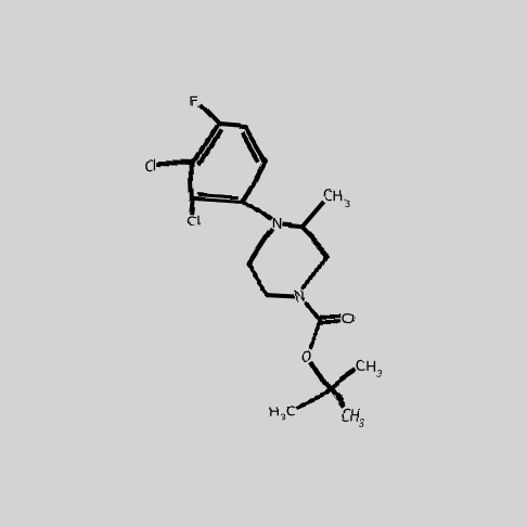 CC1CN(C(=O)OC(C)(C)C)CCN1c1ccc(F)c(Cl)c1Cl